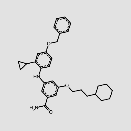 NC(=O)c1cc(Nc2ccc(OCc3ccccc3)cc2C2CC2)cc(OCCCC2CCCCC2)c1